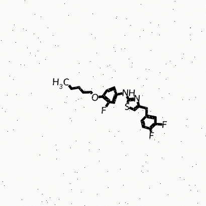 CCCCCOc1ccc(Nc2nc(Cc3ccc(F)c(F)c3)cs2)cc1F